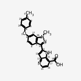 Cc1ccc(Oc2ccc3c(-c4cc5nccc(C(=O)O)c5[nH]4)nn(C)c3c2)cc1